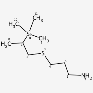 CC(CSCCCN)[Si](C)(C)C